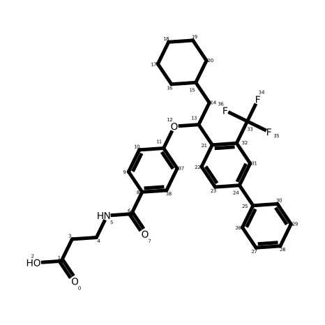 O=C(O)CCNC(=O)c1ccc(OC(CC2CCCCC2)c2ccc(-c3ccccc3)cc2C(F)(F)F)cc1